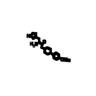 COc1ccc(C2C=CC(CC(=O)[C@@H](N)Cc3c[nH]cn3)=CC2)cc1